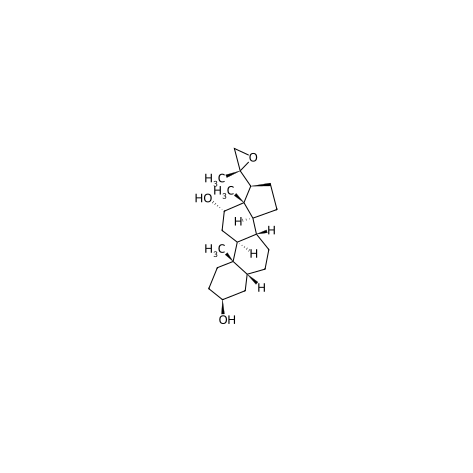 C[C@]12CC[C@H](O)C[C@H]1CC[C@@H]1[C@@H]2C[C@H](O)[C@@]2(C)[C@H]1CC[C@@H]2[C@]1(C)CO1